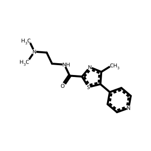 Cc1nc(C(=O)NCCN(C)C)sc1-c1ccncc1